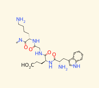 C=NC(=O)[C@H](CCCCN)NC(=O)CNC(=O)[C@H](CCC(=O)O)NC(=O)[C@@H](N)Cc1c[nH]c2ccccc12